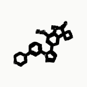 COc1cc(-c2ccnn2-c2cccc(N3CCOCC3)c2)cc2c1NC(=O)C21CCC1